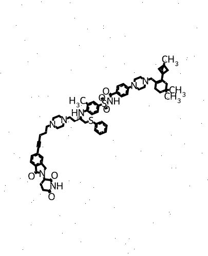 Cc1cc(S(=O)(=O)NC(=O)c2ccc(N3CCN(CC4=C(C56CC(C)(C5)C6)CC(C)(C)CC4)CC3)cc2)ccc1N[C@H](CCN1CCN(CCCC#Cc2ccc3c(c2)CN(C2CCC(=O)NC2=O)C3=O)CC1)CSc1ccccc1